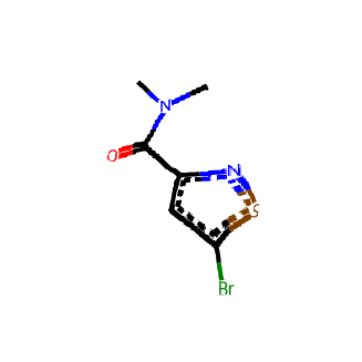 CN(C)C(=O)c1cc(Br)sn1